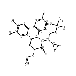 C=CC[C@@H]1O[C@H](c2ccc(Cl)c(Cl)c2)[C@@H](c2ccc(Cl)cc2)N([C@H](CSC(C)(C)C)C2CC2)C1=O